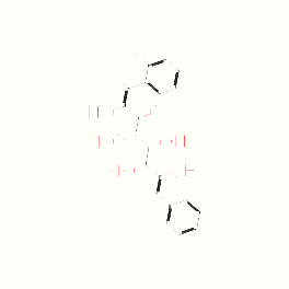 CC(=C(O)[C@@H](O)[C@@H](O)[C@H](O)[C@@H](O)C(O)=Cc1ccccc1)c1ccccc1C